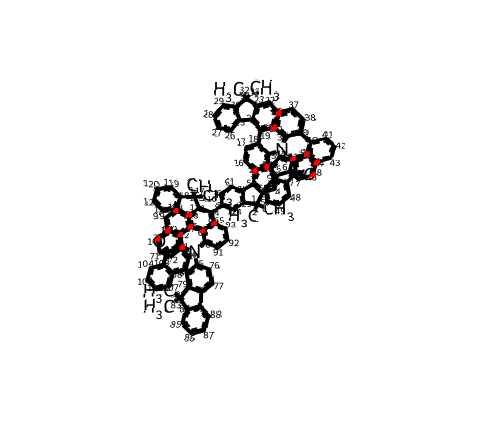 CC1(C)c2cc(-c3ccccc3N(c3ccccc3-c3cccc4c3-c3ccccc3C4(C)C)c3ccccc3-c3cccc4oc5c6ccccc6ccc5c34)ccc2-c2ccc(-c3ccc(-c4ccccc4N(c4ccc5c(c4)C(C)(C)c4ccccc4-5)c4ccccc4-c4cccc5oc6c7ccccc7ccc6c45)c4c3C(C)(C)c3ccccc3-4)cc21